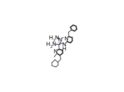 Cc1nc(/C(N)=C(\Nc2cccc(Cc3ccccc3)n2)N(C)N)ccc1CC1CCCCC1